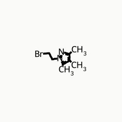 Cc1nn(CCBr)c(C)c1C